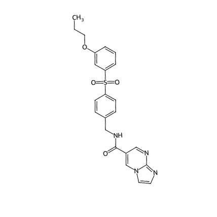 CCCOc1cccc(S(=O)(=O)c2ccc(CNC(=O)c3cnc4nccn4c3)cc2)c1